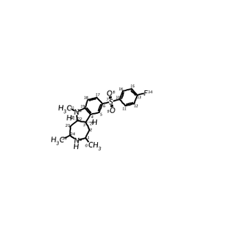 CC1C[C@@H]2c3cc(S(=O)(=O)c4ccc(F)cc4)ccc3N(C)[C@@H]2CC(C)N1